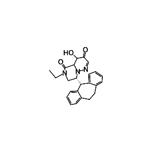 CCN1C[C@@H](C2c3ccccc3CCc3ccccc32)N2N=CC(=O)C(O)C2C1=O